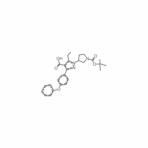 CCc1c(C(=O)O)c(-c2ccc(Oc3ccccc3)cc2)nn1C1CCN(C(=O)OC(C)(C)C)C1